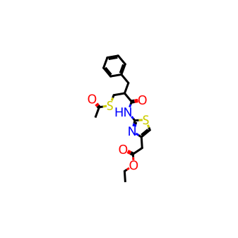 CCOC(=O)Cc1csc(NC(=O)C(CSC(C)=O)Cc2ccccc2)n1